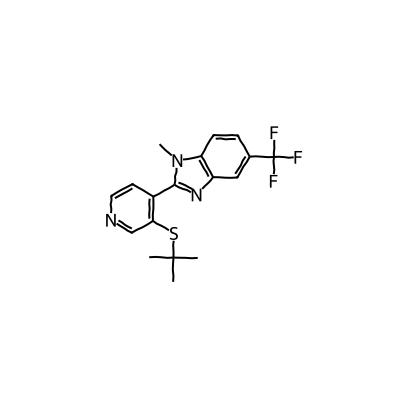 Cn1c(-c2ccncc2SC(C)(C)C)nc2cc(C(F)(F)F)ccc21